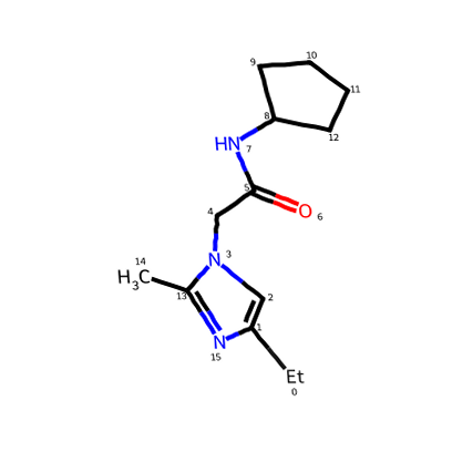 CCc1cn(CC(=O)NC2CCCC2)c(C)n1